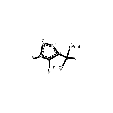 CCCCCCC(C)(CCCCC)c1nnn(C)c1Cl